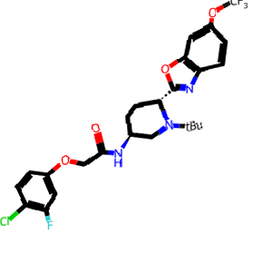 CC(C)(C)N1C[C@@H](NC(=O)COc2ccc(Cl)c(F)c2)CC[C@@H]1c1nc2ccc(OC(F)(F)F)cc2o1